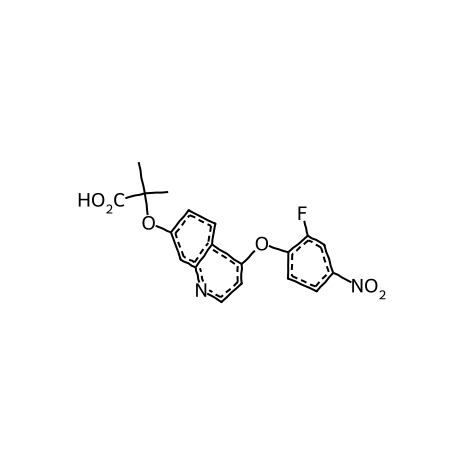 CC(C)(Oc1ccc2c(Oc3ccc([N+](=O)[O-])cc3F)ccnc2c1)C(=O)O